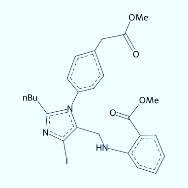 CCCCc1nc(I)c(CNc2ccccc2C(=O)OC)n1-c1ccc(CC(=O)OC)cc1